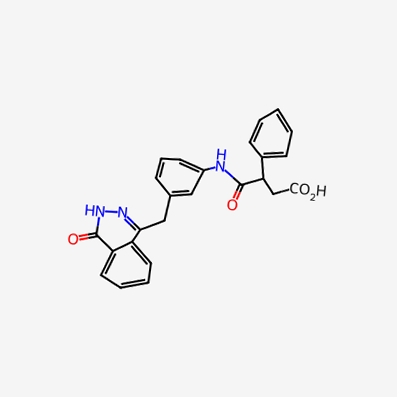 O=C(O)CC(C(=O)Nc1cccc(Cc2n[nH]c(=O)c3ccccc23)c1)c1ccccc1